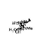 CNc1nc(NC[C@H](C)O)nc2c(NC)nc(NCC3CC3)nc12